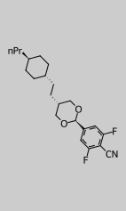 CCC[C@H]1CC[C@H](CC[C@H]2CO[C@H](c3cc(F)c(C#N)c(F)c3)OC2)CC1